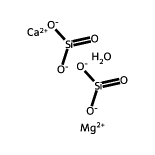 O.O=[Si]([O-])[O-].O=[Si]([O-])[O-].[Ca+2].[Mg+2]